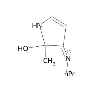 CCC/N=C1/C=CNC1(C)O